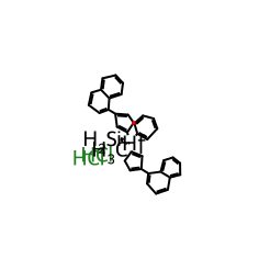 Cl.Cl.[CH3][Hf](=[SiH2])([C]1=CC(c2cccc3ccccc23)=CC1)([C]1=CC(c2cccc3ccccc23)=CC1)[c]1ccccc1